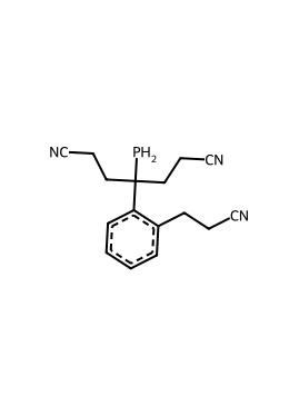 N#CCCc1ccccc1C(P)(CCC#N)CCC#N